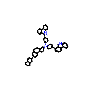 c1ccc2cc(-c3ccc4c(ccc5cc(N(c6ccc(-c7cccc8c7cnc7ccccc78)cc6)c6ccc(-c7nc8ccccc8c8ccccc78)cc6)ccc54)c3)ccc2c1